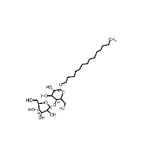 CCCCCCCCCCCCCCO[C@@H]1OC(CO)[C@@H](O[C@H]2OC(CO)[C@@H](O)[C@H](O)C2O)C(O)[C@@H]1O